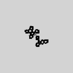 c1ccc2cc3c(cc2c1)c1ccccc1n3-c1ccc(-n2c3ccccc3c3c4c5ccccc5c5ccccc5c4c4ccccc4c32)cc1